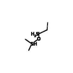 CC[SiH2]O[SiH](C)C